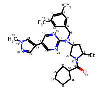 CCC1CC(N(Cc2cc(C(F)(F)F)cc(C(F)(F)F)c2)c2ncc(-c3cnn(C)c3)cn2)CN1C(=O)C1CCCCC1